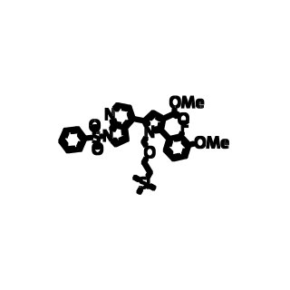 COC(=O)c1cc(-c2ccnc3c2ccn3S(=O)(=O)c2ccccc2)n(COCC[Si](C)(C)C)c1-c1cccc(OC)c1F